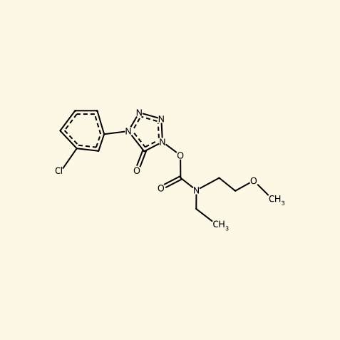 CCN(CCOC)C(=O)On1nnn(-c2cccc(Cl)c2)c1=O